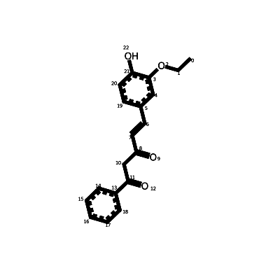 CCOc1cc(C=CC(=O)CC(=O)c2ccccc2)ccc1O